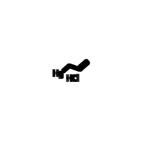 C=C[CH2][Hg].Cl